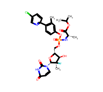 Cc1cc(OP(=O)(N[C@@H](C)C(=O)OC(C)C)OC[C@H]2O[C@@H](n3ccc(=O)[nH]c3=O)[C@](C)(F)[C@@H]2O)ccc1-c1ccc(Cl)cn1